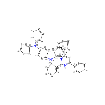 c1ccc(-c2cc(-c3ccccc3)nc(-c3ccccc3-n3c4ccccc4c4cc(N(c5ccccc5)c5ccccc5)ccc43)n2)cc1